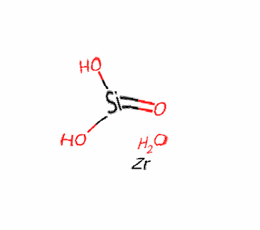 O.O=[Si](O)O.[Zr]